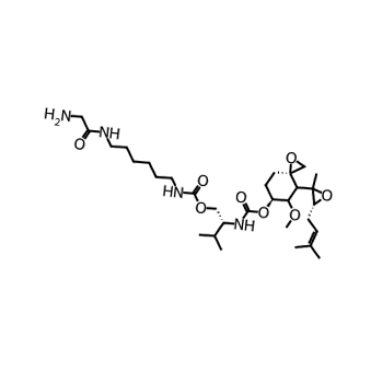 COC1C(C2(C)O[C@@H]2CC=C(C)C)[C@]2(CC[C@@H]1OC(=O)N[C@@H](COC(=O)NCCCCCCNC(=O)CN)C(C)C)CO2